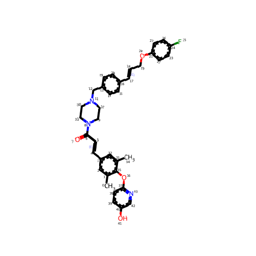 Cc1cc(/C=C/C(=O)N2CCN(Cc3ccc(/C=C/COc4ccc(F)cc4)cc3)CC2)cc(C)c1Oc1ccc(O)cn1